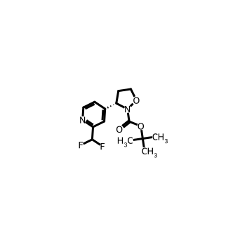 CC(C)(C)OC(=O)N1OCC[C@H]1c1ccnc(C(F)F)c1